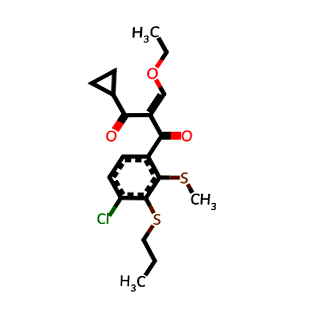 CCCSc1c(Cl)ccc(C(=O)C(=COCC)C(=O)C2CC2)c1SC